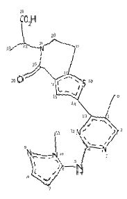 Cc1cnc(Nc2ccnn2C)nc1-c1cc2c(s1)CCN(C(C)C(=O)O)C2=O